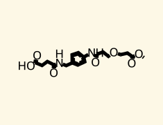 COC(=O)CCOCCC(=O)Nc1ccc(CNC(=O)CCC(=O)O)cc1